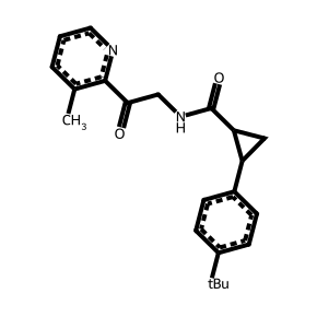 Cc1cccnc1C(=O)CNC(=O)C1CC1c1ccc(C(C)(C)C)cc1